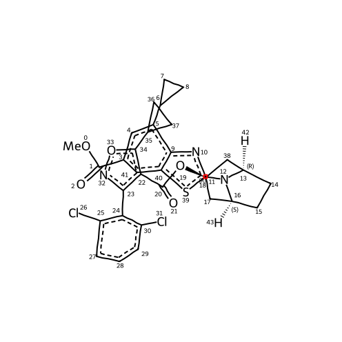 COC(=O)c1cc(C2CC2)c2nc(N3[C@@H]4CC[C@H]3C[C@@H](OC(=O)c3c(-c5c(Cl)cccc5Cl)noc3C3CC3)C4)sc2c1